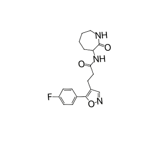 O=C(CCc1cnoc1-c1ccc(F)cc1)NC1CCCCNC1=O